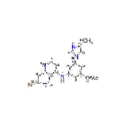 COc1cc(Nc2ccnc3cc(Br)ccc23)cc(-n2cnc(C)c2)c1